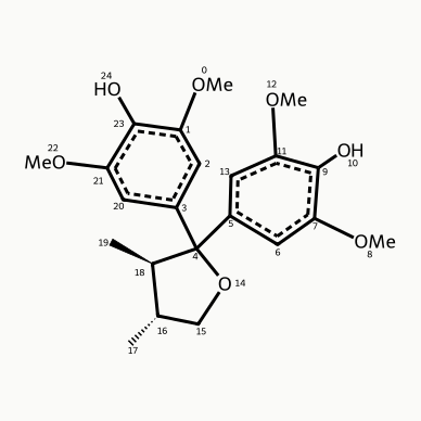 COc1cc(C2(c3cc(OC)c(O)c(OC)c3)OC[C@H](C)[C@H]2C)cc(OC)c1O